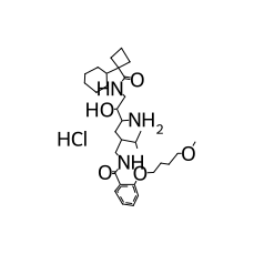 COCCCCOc1ccccc1C(=O)NCC(CC(N)C(O)CNC(=O)C1(C2CCCCC2)CCC1)C(C)C.Cl